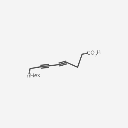 CCCCCCCC#CC#CCCC(=O)O